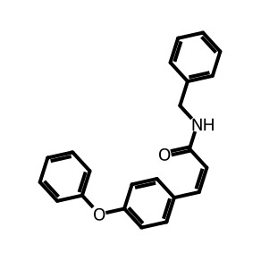 O=C(/C=C\c1ccc(Oc2ccccc2)cc1)NCc1ccccc1